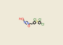 O=C(C=Cc1ccc(Sc2ccc(Cl)cc2Cl)c(Cl)c1)N1CCN(CCO)CC1